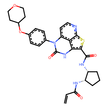 C=CC(=O)N[C@H]1CCC[C@H]1NC(=O)c1sc2nccc3c2c1NC(=O)N3c1ccc(OC2CCOCC2)cc1